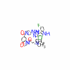 CN(C)C/C=C/C(=O)N1CCOc2ccc(C(=O)N3CCC(Nc4ncc(Cl)c(-c5c[nH]c6ccc(F)cc56)n4)CC3)cc21